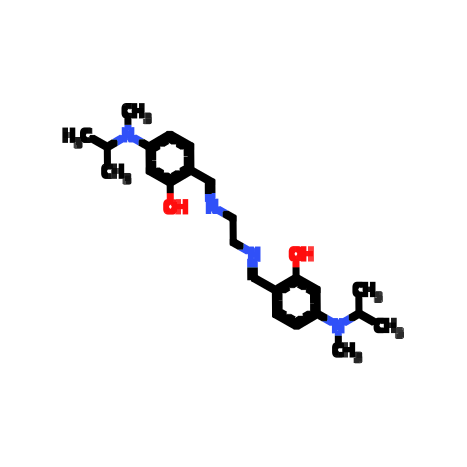 CC(C)N(C)c1ccc(C=NCCN=Cc2ccc(N(C)C(C)C)cc2O)c(O)c1